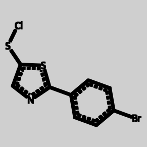 ClSc1cnc(-c2ccc(Br)cc2)s1